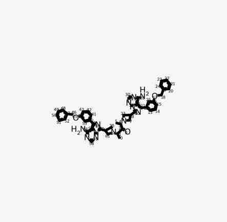 CC(C(=O)C(C)N1CC(c2nc(-c3cccc(OCc4ccccc4)c3)c3c(N)ncnn23)C1)N1CC(c2nc(-c3cccc(OCc4ccccc4)c3)c3c(N)ncnn23)C1